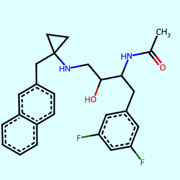 CC(=O)NC(Cc1cc(F)cc(F)c1)C(O)CNC1(Cc2ccc3ccccc3c2)CC1